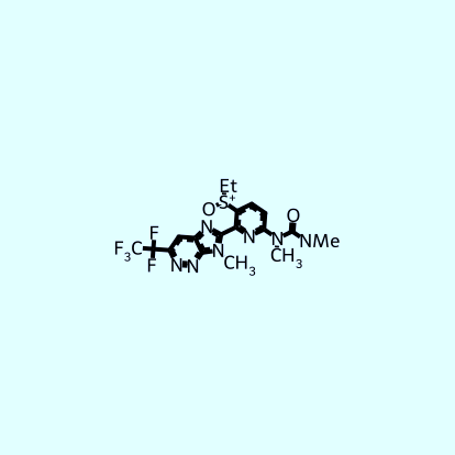 CC[S+]([O-])c1ccc(N(C)C(=O)NC)nc1-c1nc2cc(C(F)(F)C(F)(F)F)nnc2n1C